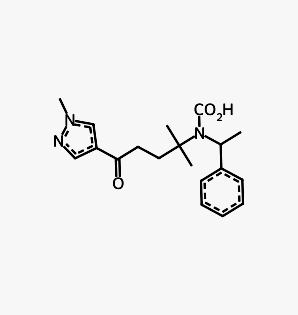 CC(c1ccccc1)N(C(=O)O)C(C)(C)CCC(=O)c1cnn(C)c1